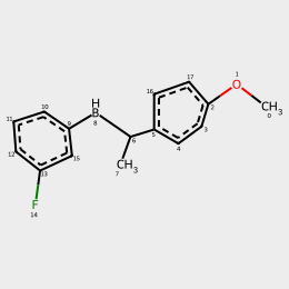 COc1ccc(C(C)Bc2cccc(F)c2)cc1